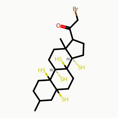 CC1CCC2(S)C(S)(CCC3(S)[C@]4(S)CCC(C(=O)CBr)C4(C)CC[C@]23S)C1